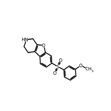 COc1cccc(S(=O)(=O)c2ccc3c4c(oc3c2)CNCC4)c1